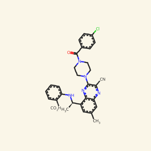 Cc1cc([C@@H](C)Nc2ccccc2C(=O)O)c2nc(N3CCN(C(=O)c4ccc(Cl)cc4)CC3)c(C#N)nc2c1